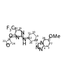 COc1ccc2nnc([C@H]3CCC[C@@H](Nc4ncc(C(F)(F)F)c(OC5COC5)n4)C3)n2c1